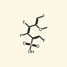 COC(=C\F)/C(F)=C(F)\C(=C\F)S(=O)(=O)O